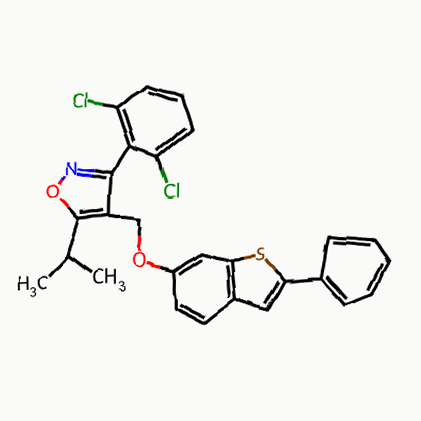 CC(C)c1onc(-c2c(Cl)cccc2Cl)c1COc1ccc2cc(-c3ccccc3)sc2c1